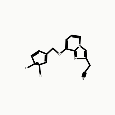 N#CCc1cn2cccc(OCc3ccc(Cl)c(Cl)c3)c2n1